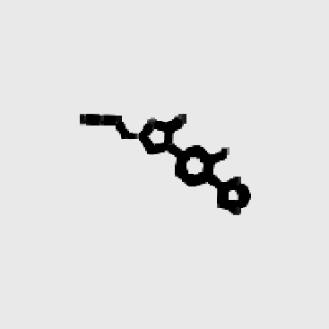 [N-]=[N+]=NC[C@H]1CN(c2ccc(-c3ncon3)c(F)c2)C(=O)O1